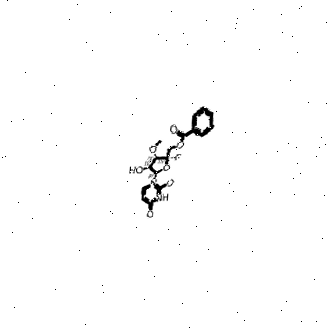 CO[C@H]1[C@H](O)[C@H](n2ccc(=O)[nH]c2=O)O[C@]1(F)COC(=O)c1ccccc1